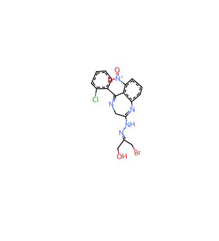 O=[N+]([O-])c1cccc2c1C(c1ccccc1Cl)=NCC(NN=C(CO)CBr)=N2